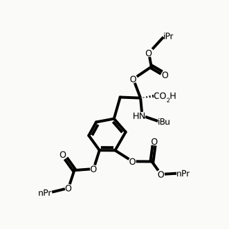 CCCOC(=O)Oc1ccc(C[C@](NC(C)CC)(OC(=O)OC(C)C)C(=O)O)cc1OC(=O)OCCC